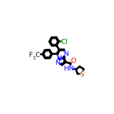 O=C(NC1CCSC1)c1cnn2c(-c3ccc(C(F)(F)F)cc3)c(-c3ccccc3Cl)cnc12